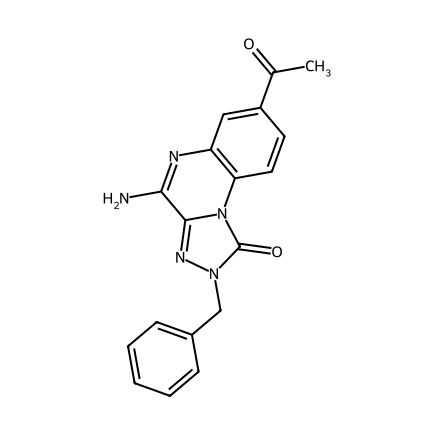 CC(=O)c1ccc2c(c1)nc(N)c1nn(Cc3ccccc3)c(=O)n12